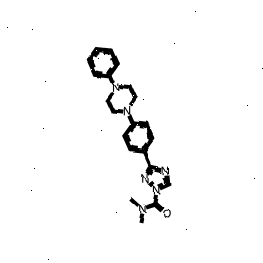 CN(C)C(=O)n1cnc(-c2ccc(N3CCN(c4ccccc4)CC3)cc2)n1